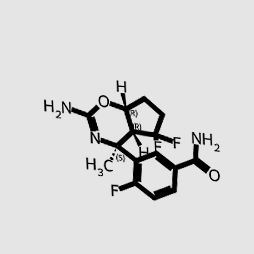 C[C@]1(c2cc(C(N)=O)ccc2F)N=C(N)O[C@@H]2CCC(F)(F)[C@@H]21